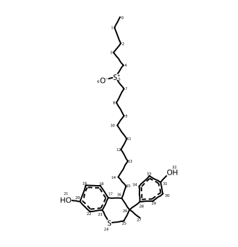 CCCCC[S+]([O-])CCCCCCCCCC1c2ccc(O)cc2SCC1(C)c1ccc(O)cc1